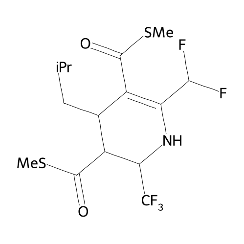 CSC(=O)C1=C(C(F)F)NC(C(F)(F)F)C(C(=O)SC)C1CC(C)C